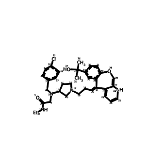 CCNC(=O)CN(Cc1ccc(Cl)cc1)C1CCN(CC/C=C2/C3=CC=CNC3=COc3ccc(C(C)(C)O)cc32)C1